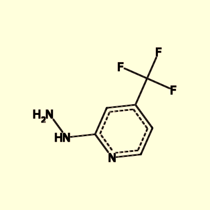 NNc1cc(C(F)(F)F)ccn1